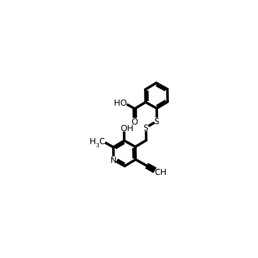 C#Cc1cnc(C)c(O)c1CSSc1ccccc1C(=O)O